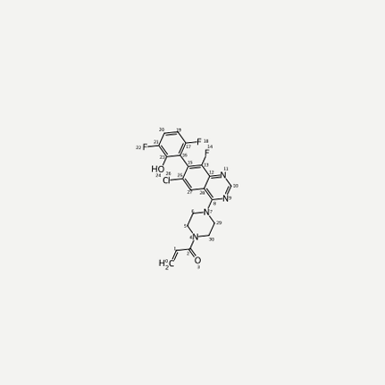 C=CC(=O)N1CCN(c2ncnc3c(F)c(-c4c(F)ccc(F)c4O)c(Cl)cc23)CC1